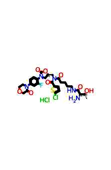 C[C@@H](O)[C@H](N)C(=O)NCCCCC(=O)N(C[C@H]1CN(c2ccc(N3CCOCC3=O)cc2F)C(=O)O1)C(=O)c1ccc(Cl)s1.Cl